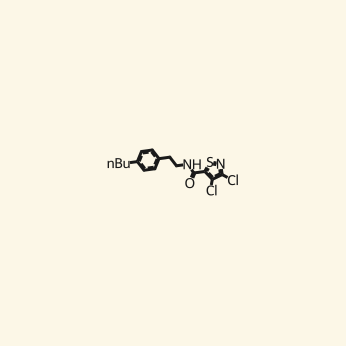 CCCCc1ccc(CCNC(=O)c2snc(Cl)c2Cl)cc1